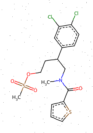 CN(CC(CCOS(C)(=O)=O)c1ccc(Cl)c(Cl)c1)C(=O)c1cccs1